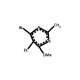 CCc1c(Br)nc(C)nc1OC